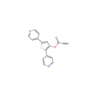 CNC(=O)Oc1cc(-c2ccncc2)sc1-c1ccncc1